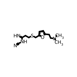 CN(C)CCc1ccc(CSCCC(=N)NC#N)o1